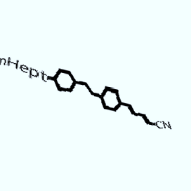 CCCCCCCC1CCC(CCC2CCC(C=CC=CC#N)CC2)CC1